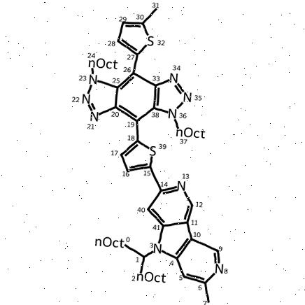 CCCCCCCCC(CCCCCCCC)n1c2cc(C)ncc2c2cnc(-c3ccc(-c4c5nnn(CCCCCCCC)c5c(-c5ccc(C)s5)c5nnn(CCCCCCCC)c45)s3)cc21